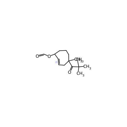 CC(C)(C)C(=O)C1(C)C/C=C/C(OC=O)CCC1